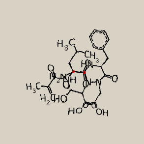 C=C(C)C(=O)N[C@@H](CC(C)C)C(=O)N(C(C(=O)O)C(=O)O)N(CC(=O)O)C(=O)[C@H](Cc1ccccc1)NC(=O)CN